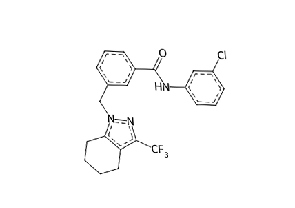 O=C(Nc1cccc(Cl)c1)c1cccc(Cn2nc(C(F)(F)F)c3c2CCCC3)c1